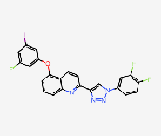 Fc1cc(I)cc(Oc2cccc3nc(-c4cn(-c5ccc(F)c(F)c5)nn4)ccc23)c1